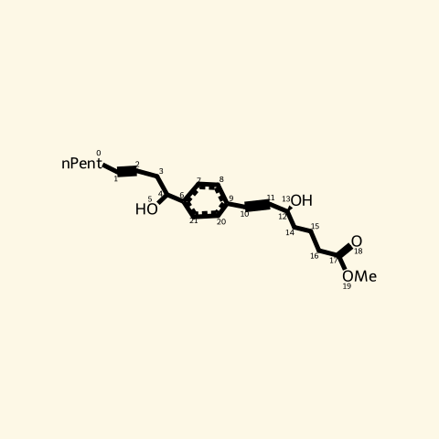 CCCCCC#CCC(O)c1ccc(C#C[C@@H](O)CCCC(=O)OC)cc1